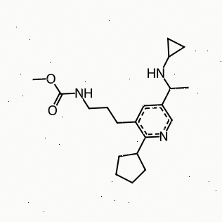 COC(=O)NCCCc1cc(C(C)NC2CC2)cnc1C1CCCC1